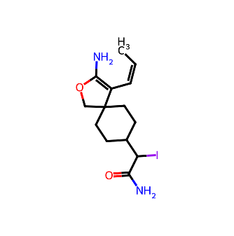 C/C=C\C1=C(N)OCC12CCC(C(I)C(N)=O)CC2